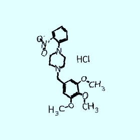 COc1cc(CN2CCN(c3ccccc3[N+](=O)[O-])CC2)cc(OC)c1OC.Cl